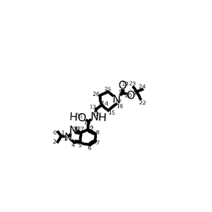 CC(C)n1cc2cccc(C(O)NCC3CCN(C(=O)OC(C)(C)C)CC3)c2n1